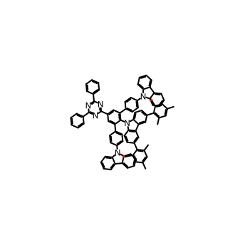 Cc1cc(C)c(-c2ccc3c(c2)c2cc(-c4c(C)cc(C)cc4C)ccc2n3-c2c(-c3ccc(-n4c5ccccc5c5ccccc54)cc3)cc(-c3nc(-c4ccccc4)nc(-c4ccccc4)n3)cc2-c2ccc(-n3c4ccccc4c4ccccc43)cc2)c(C)c1